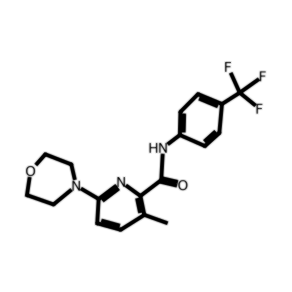 Cc1ccc(N2CCOCC2)nc1C(=O)Nc1ccc(C(F)(F)F)cc1